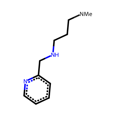 CNCCCNCc1ccccn1